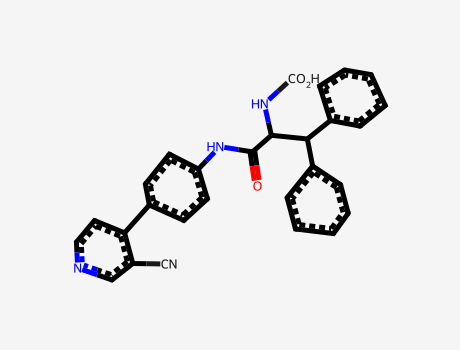 N#Cc1cnccc1-c1ccc(NC(=O)C(NC(=O)O)C(c2ccccc2)c2ccccc2)cc1